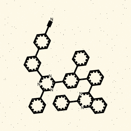 N#Cc1ccc(-c2cccc(-c3nc(-c4ccccc4)nc(-c4ccc(-c5ccccc5-c5nc(-c6ccccc6)nc6ccccc56)c(-c5ccccc5)c4)n3)c2)cc1